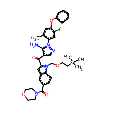 Cc1cc(Oc2ccccc2)c(F)cc1-n1ncc(C(=O)c2cc3cc(C(=O)N4CCOCC4)ccc3n2COCC[Si](C)(C)C)c1N